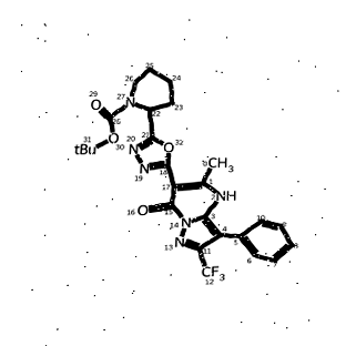 Cc1[nH]c2c(-c3ccccc3)c(C(F)(F)F)nn2c(=O)c1-c1nnc(C2CCCCN2C(=O)OC(C)(C)C)o1